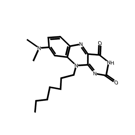 CCCCCCCn1c2nc(=O)[nH]c(=O)c-2nc2ccc(N(C)C)cc21